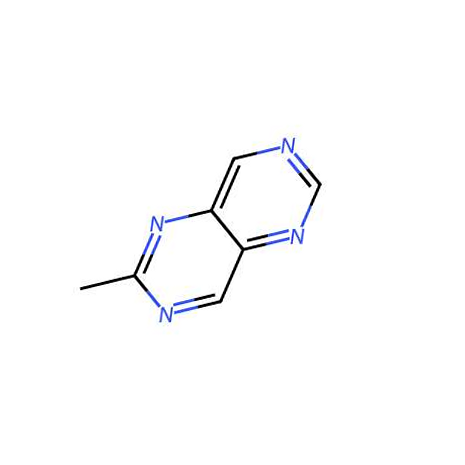 Cc1ncc2ncncc2n1